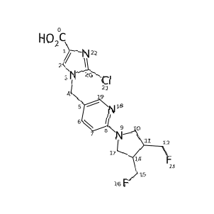 O=C(O)c1cn(Cc2ccc(N3CC(CF)C(CF)C3)nc2)c(Cl)n1